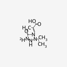 [2H]N1NN(C(C)C)N(C=C(C)C(=O)O)C1=O